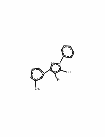 Cc1cccc(-c2nn(-c3ccccc3)c(O)c2C(C)C)c1